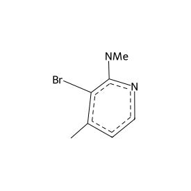 CNc1nccc(C)c1Br